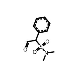 CN(C)S(=O)(=O)C([C]=O)c1ccccc1